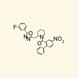 O=C(c1cc([N+](=O)[O-])ccc1-c1ccccc1)N1CCCCC1Cc1nnc(-c2cccc(F)c2)o1